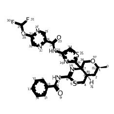 C[C@H]1C[C@H]2CSC(NC(=O)c3ccccc3)=NC2(c2nc(NC(=O)c3cnc(OC(F)F)cn3)cs2)CO1